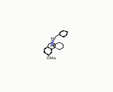 COc1ccc2c(c1)[C@@]13CCCC[C@H]1[C@@H](C2)N(Cc1ccccc1)CC3